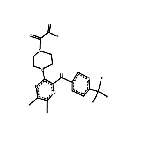 C=C(F)C(=O)N1CCN(c2nc(C)c(C)nc2Nc2ccc(C(F)(F)F)nc2)CC1